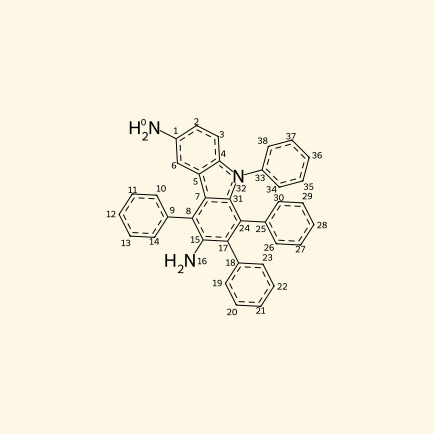 Nc1ccc2c(c1)c1c(-c3ccccc3)c(N)c(-c3ccccc3)c(-c3ccccc3)c1n2-c1ccccc1